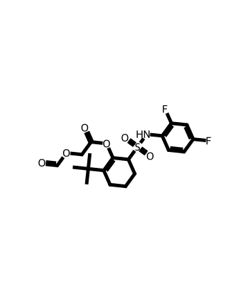 CC(C)(C)C1=C(OC(=O)COC=O)C(S(=O)(=O)Nc2ccc(F)cc2F)CCC1